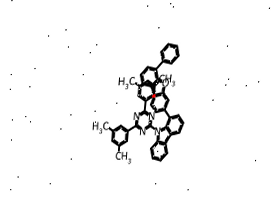 Cc1cc(C)cc(-c2nc(-c3cc(C)cc(C)c3)nc(-n3c4ccccc4c4cccc(-c5ccc6c(c5)oc5c(-c7ccccc7)cccc56)c43)n2)c1